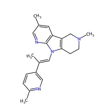 C/C(=C\n1c2c(c3cc(C)cnc31)CN(C)CC2)c1ccc(C)nc1